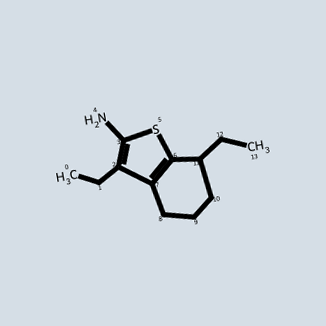 CCc1c(N)sc2c1CCCC2CC